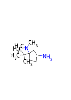 CN(C)C1(C(C)(C)C)CCC(N)C1